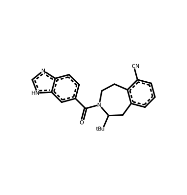 CC(C)(C)C1Cc2cccc(C#N)c2CCN1C(=O)c1ccc2nc[nH]c2c1